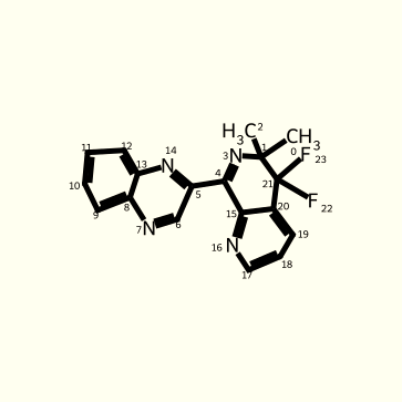 CC1(C)N=C(c2cnc3ccccc3n2)c2ncccc2C1(F)F